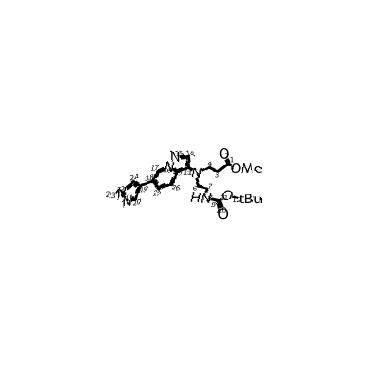 COC(=O)CCN(CCNC(=O)OC(C)(C)C)c1cnn2cc(-c3cnn(C)c3)ccc12